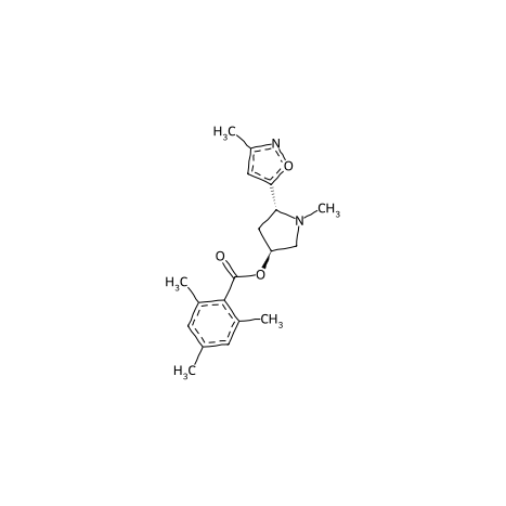 Cc1cc(C)c(C(=O)O[C@H]2C[C@H](c3cc(C)no3)N(C)C2)c(C)c1